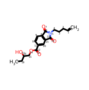 C=CCCCN1C(=O)c2ccc(C(=O)OCC(O)CC)cc2C1=O